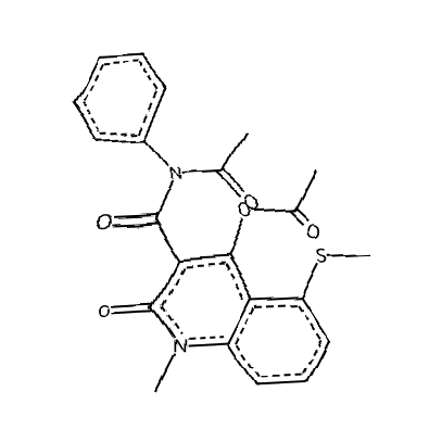 CSc1cccc2c1c(OC(C)=O)c(C(=O)N(C(C)=O)c1ccccc1)c(=O)n2C